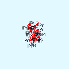 CC(C)C(=O)OC[C@H]1OC(OC[C@H]2OC(O[C@]3(COC(=O)C(C)C)O[C@H](COC(=O)C(C)C)[C@@H](OC(=O)C(C)C)[C@@H]3OC(=O)C(C)C)[C@H](OC(=O)C(C)C)[C@@H](OC(=O)C(C)C)[C@@H]2OC(=O)C(C)C)[C@H](OC(=O)C(C)C)[C@@H](OC(=O)C(C)C)[C@H]1OC(=O)C(C)C